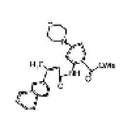 COC(=O)c1ccc(N2CCOCC2)cc1NC(=O)/C=C(/C)c1ccc2ccccc2c1